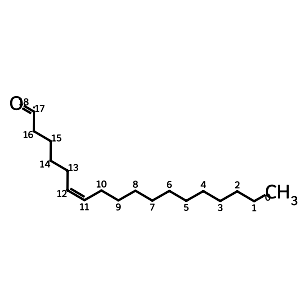 CCCCCCCCCCC/C=C\CCCC[C]=O